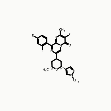 Cc1nc2c(-c3ccc(F)cc3F)nc(C3C[C@@H](C)O[C@@H](c4cnn(C)c4)C3)cn2c(=O)c1F